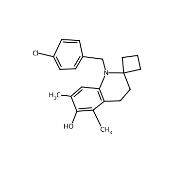 Cc1cc2c(c(C)c1O)CCC1(CCC1)N2Cc1ccc(Cl)cc1